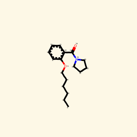 CCCCCCOc1ccccc1C(=O)N1CCCC1